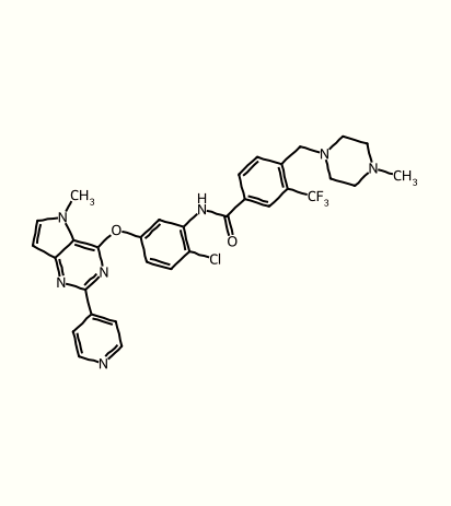 CN1CCN(Cc2ccc(C(=O)Nc3cc(Oc4nc(-c5ccncc5)nc5ccn(C)c45)ccc3Cl)cc2C(F)(F)F)CC1